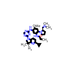 C=CC(=O)Nc1cc(Nc2ncnc(N3CC(C)(C)c4nc(C5CC5)ccc43)n2)c(OC)cc1N1CCC[C@@H]1CN(C)C